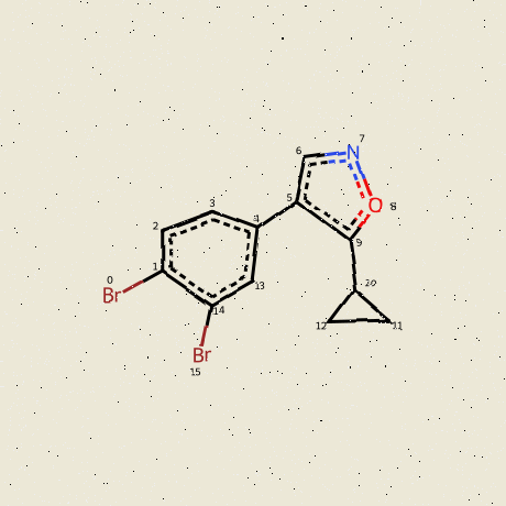 Brc1ccc(-c2cnoc2C2CC2)cc1Br